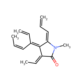 C=C\C=C1C(=C(C=C)/C=C\C)/C(=C\C)C(=O)N/1C